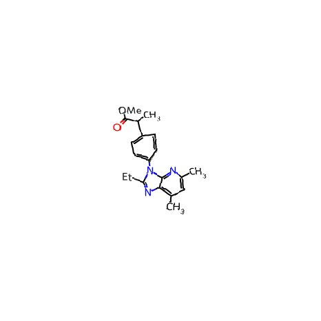 CCc1nc2c(C)cc(C)nc2n1-c1ccc(C(C)C(=O)OC)cc1